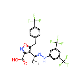 C/C(=N\Nc1cc(C(F)(F)F)cc(C(F)(F)F)c1)c1c(C(=O)O)noc1Cc1ccc(C(F)(F)F)cc1